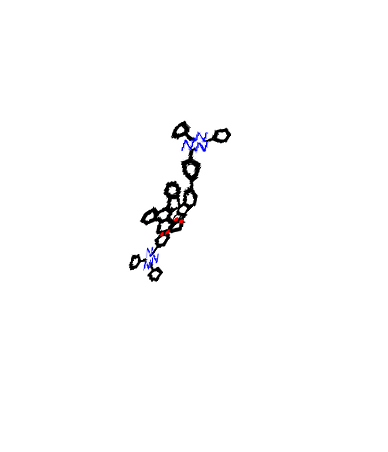 c1ccc(-c2nc(-c3ccccc3)nc(-c3ccc(-c4ccc5c(c4)C4(c6cc(-c7ccc(-c8nc(-c9ccccc9)nc(-c9ccccc9)n8)cc7)ccc6-5)c5ccccc5-c5c4c4c6ccccc6ccc4c4ccccc54)cc3)n2)cc1